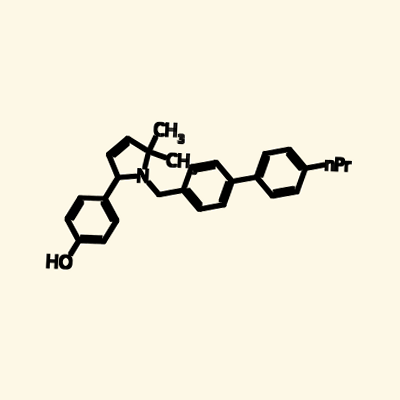 CCCc1ccc(-c2ccc(CN3C(c4ccc(O)cc4)C=CC3(C)C)cc2)cc1